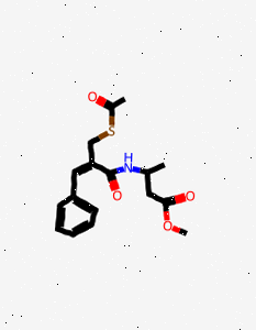 COC(=O)CC(C)NC(=O)/C(=C\c1ccccc1)CSC(C)=O